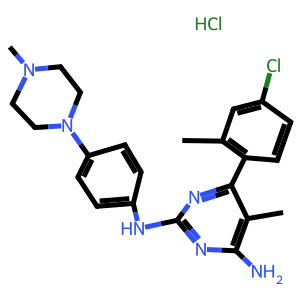 Cc1cc(Cl)ccc1-c1nc(Nc2ccc(N3CCN(C)CC3)cc2)nc(N)c1C.Cl